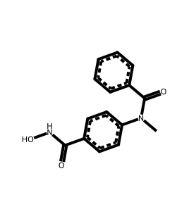 CN(C(=O)c1ccccc1)c1ccc(C(=O)NO)cc1